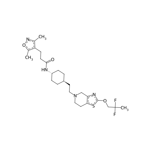 Cc1noc(C)c1CCC(=O)N[C@H]1CC[C@H](CCN2CCc3sc(OCC(C)(F)F)nc3C2)CC1